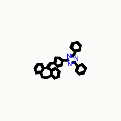 C(=C1c2ccccc2CCc2ccccc21)c1ccc(-c2nc(-c3ccccc3)nc(-c3ccccc3)n2)cc1